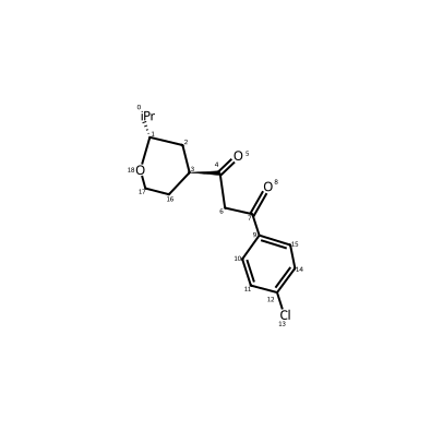 CC(C)[C@@H]1C[C@@H](C(=O)CC(=O)c2ccc(Cl)cc2)CCO1